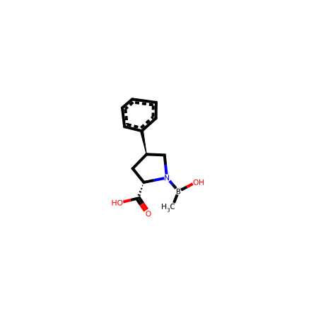 CB(O)N1C[C@H](c2ccccc2)C[C@H]1C(=O)O